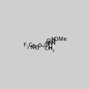 COc1cnc(NC(=O)N2CC/C(=C\c3cccc(Oc4ccc(C(F)(F)F)nc4)c3)C(C)C2)cn1